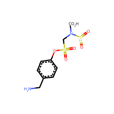 NCc1ccc(OS(=O)(=O)CN(C(=O)O)[SH](=O)=O)cc1